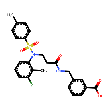 Cc1ccc(S(=O)(=O)N(CCC(=O)NCc2cccc(C(=O)O)c2)c2cccc(Cl)c2C)cc1